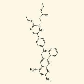 CCOC(=O)CC[C@H](NC(=O)c1ccc(NCc2cc3c(N)nc(N)nc3nc2-c2ccccc2)cc1)C(=O)OCC